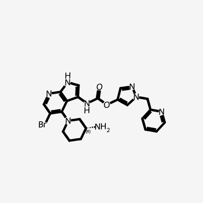 N[C@@H]1CCCN(c2c(Br)cnc3[nH]cc(NC(=O)Oc4cnn(Cc5ccccn5)c4)c23)C1